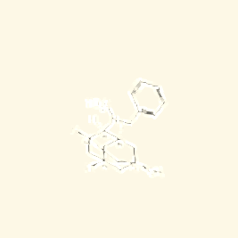 O=C(O)N(Cc1ccccc1)[C@H]1[C@@H]2C[C@H]3C[C@H]1C[C@@](O)(C3)C2